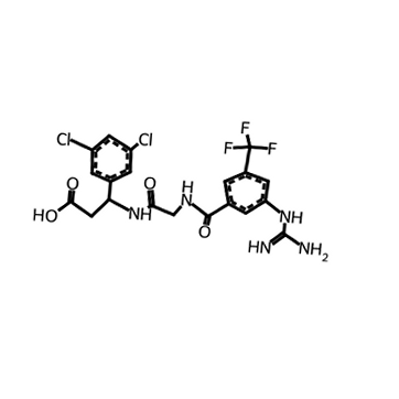 N=C(N)Nc1cc(C(=O)NCC(=O)NC(CC(=O)O)c2cc(Cl)cc(Cl)c2)cc(C(F)(F)F)c1